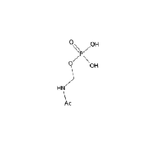 CC(=O)NCOP(=O)(O)O